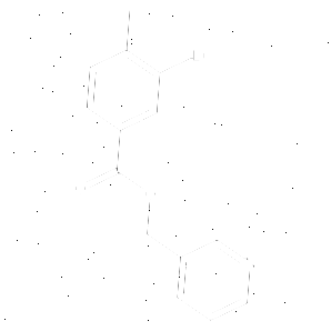 CCc1cc(C(=O)OCc2cccnc2)ccc1C